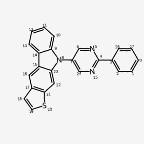 c1ccc(-c2ncc(-n3c4ccccc4c4cc5ccsc5cc43)cn2)cc1